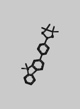 CC1(C)OB(c2ccc(-c3ccc4c(c3)[Si](C)(C)c3ccccc3-4)cc2)OC1(C)C